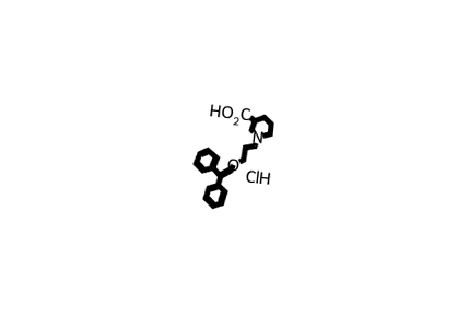 Cl.O=C(O)C1CCCN(CCCOC=C(c2ccccc2)c2ccccc2)C1